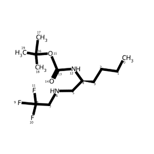 CCCC[C@@H](CNCC(F)(F)F)NC(=O)OC(C)(C)C